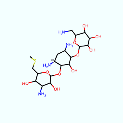 CSCC1OC(OC2C(O)C(OC3OC(CN)C(O)C(O)C3O)C(N)C[C@@H]2N)C(O)C(N)C1O